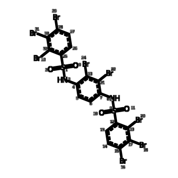 O=S(=O)(Nc1ccc(NS(=O)(=O)c2ccc(Br)c(Br)c2Br)c(Br)c1Br)c1ccc(Br)c(Br)c1Br